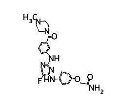 CN1CCN(C(=O)c2cccc(Nc3ncc(F)c(Nc4ccc(OCC(N)=O)cc4)n3)c2)CC1